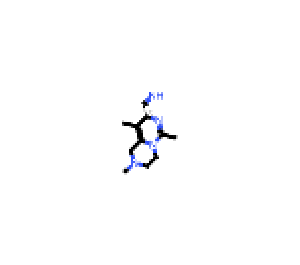 CC1=N[C@@H](C=N)C(C)=C2CN(C)CCN12